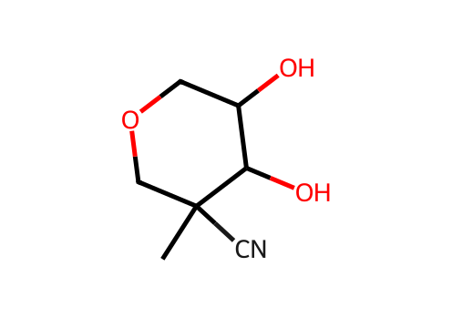 CC1(C#N)COCC(O)C1O